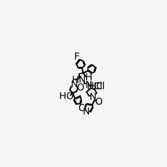 Cl.Cl.O=C(NCC(CCCN1CCC(O)(c2ccc(Cl)cc2)CC1)(c1ccccc1)c1ccc(F)cc1)NC1CCN(C(=O)c2ccncc2)CC1